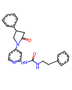 O=C(NCCc1ccccc1)Nc1cc(N2CC(c3ccccc3)CC2=O)ccn1